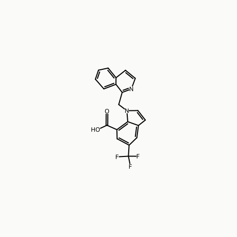 O=C(O)c1cc(C(F)(F)F)cc2ccn(Cc3nccc4ccccc34)c12